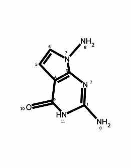 Nc1nc2c(ccn2N)c(=O)[nH]1